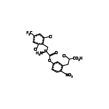 N[C@@H](Cc1c(Cl)cc(C(F)(F)F)cc1Cl)C(=O)Oc1ccc([N+](=O)[O-])c(CC(Cl)C(=O)O)c1